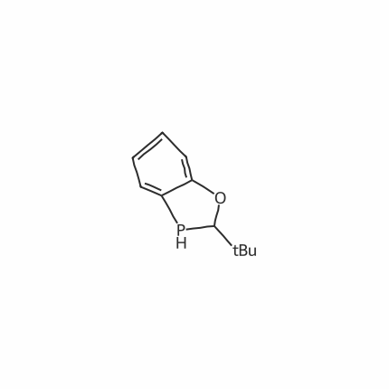 CC(C)(C)C1Oc2ccccc2P1